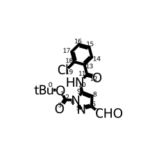 CC(C)(C)OC(=O)n1nc(C=O)cc1NC(=O)c1ccccc1Cl